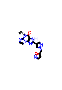 CCCn1c(=O)c2[nH]c(-c3cnn(Cc4ccno4)c3)nc2n2ccnc12